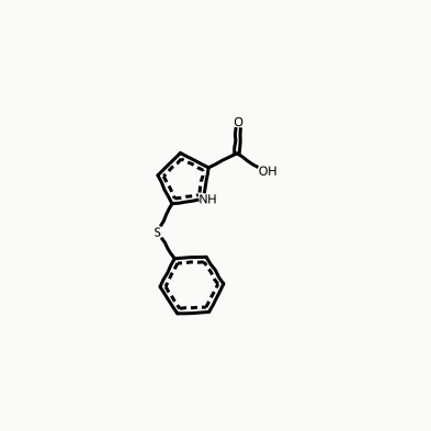 O=C(O)c1ccc(Sc2ccccc2)[nH]1